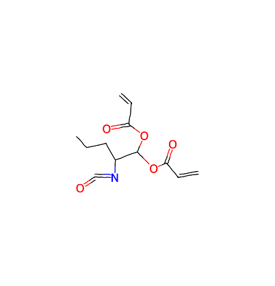 C=CC(=O)OC(OC(=O)C=C)C(CCC)N=C=O